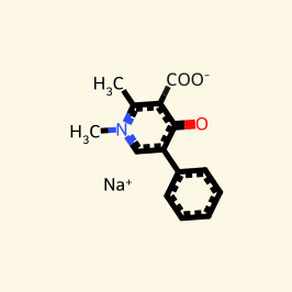 Cc1c(C(=O)[O-])c(=O)c(-c2ccccc2)cn1C.[Na+]